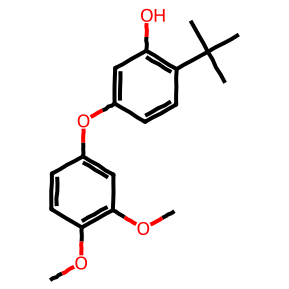 COc1ccc(Oc2ccc(C(C)(C)C)c(O)c2)cc1OC